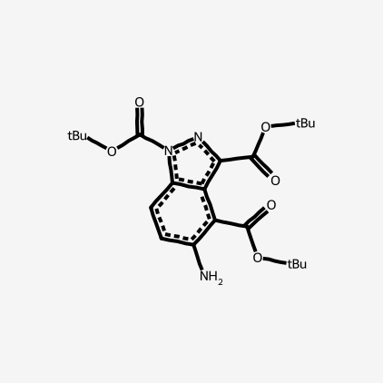 CC(C)(C)OC(=O)c1nn(C(=O)OC(C)(C)C)c2ccc(N)c(C(=O)OC(C)(C)C)c12